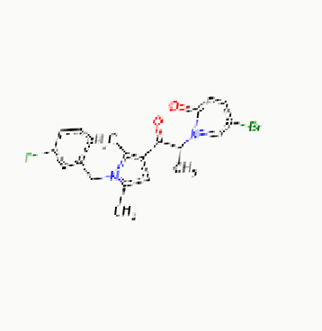 Cc1cc(C(=O)C(C)n2cc(Br)ccc2=O)c(C)n1Cc1cccc(F)c1